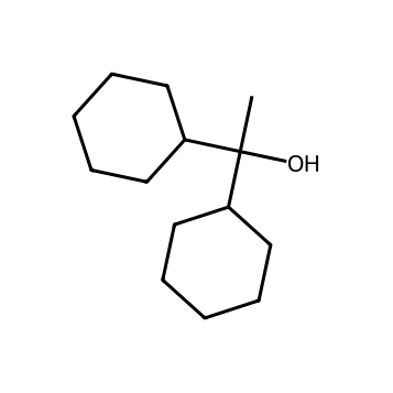 CC(O)(C1CCCCC1)C1CCCCC1